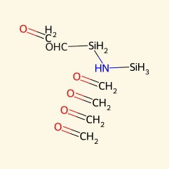 C=O.C=O.C=O.C=O.C=O.O=C[SiH2]N[SiH3]